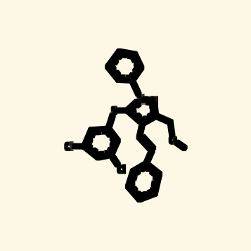 COCc1nn(-c2ccccc2)c(Sc2cc(Cl)cc(Cl)c2)c1C=Cc1ccccc1